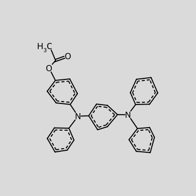 CC(=O)Oc1ccc(N(c2ccccc2)c2ccc(N(c3ccccc3)c3ccccc3)cc2)cc1